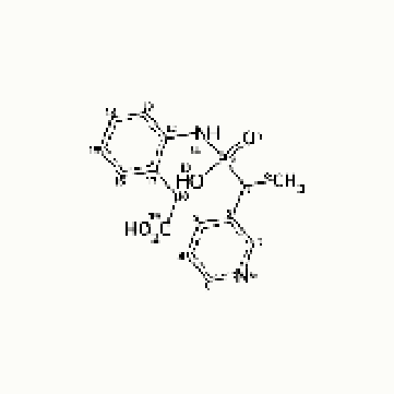 CC(c1cccnc1)P(=O)(O)Nc1ccccc1CC(=O)O